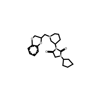 O=C1CN(C2CCCC2)C(=O)N1C1CCCN(CC2COc3ccccc3O2)C1